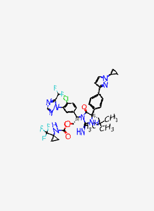 CC(C)(C)C[C@]1(c2ccc(-c3ccn(C4CC4)n3)cc2)NC(=N)N([C@H](COC(=O)NC2(C(F)(F)F)CC2)c2ccc(Cl)c(-n3ncnc3C(F)F)c2)C1=O